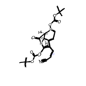 CC(C)(C)OC(=O)OC1=C(/C=C\C#N)C2CCN(OC(=O)OC(C)(C)C)[C@@H]3C(=O)N1[C@H]23